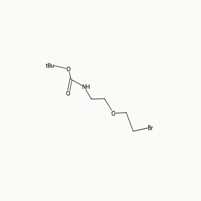 CC(C)(C)OC(=O)NCCOCCBr